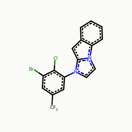 FC(F)(F)c1cc(Br)c(Cl)c(-n2ccn3c4ccccc4cc23)c1